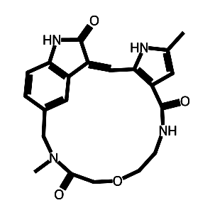 Cc1cc2c([nH]1)/C=C1\C(=O)Nc3ccc(cc31)CN(C)C(=O)COCCNC2=O